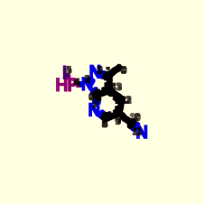 Cc1nn(PI)c2ncc(C#N)cc12